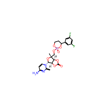 C=C1N=C(N)C=CN1[C@@H]1O[C@](C)(COP2(=O)OCCC(c3cc(F)cc(F)c3)O2)[C@H]2OC(=O)O[C@@H]12